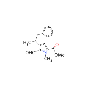 COC(=O)c1cc(C(C)Cc2ccccc2)c(C=O)n1C